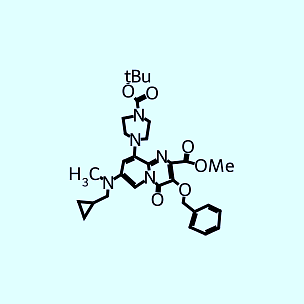 COC(=O)c1nc2c(N3CCN(C(=O)OC(C)(C)C)CC3)cc(N(C)CC3CC3)cn2c(=O)c1OCc1ccccc1